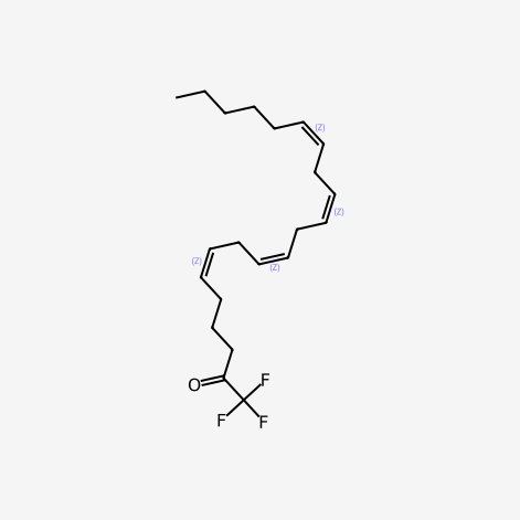 CCCCC/C=C\C/C=C\C/C=C\C/C=C\CCCC(=O)C(F)(F)F